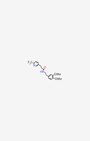 COc1ccc(CCNC(=O)CCc2ccc(C(F)(F)F)nc2)cc1OC